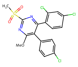 COc1nc(S(C)(=O)=O)nc(-c2ccc(Cl)cc2Cl)c1-c1ccc(Cl)cc1